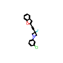 FC1(C#Cc2cc3ccccc3o2)CN(c2cccc(Cl)c2)C1